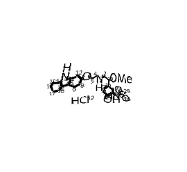 COC(CNCCOc1ccc2c(c1)[nH]c1ccccc12)c1ccc(O)c(NS(C)(=O)=O)c1.Cl